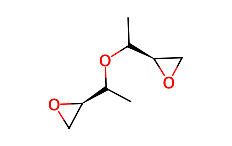 CC(OC(C)[C@H]1CO1)[C@H]1CO1